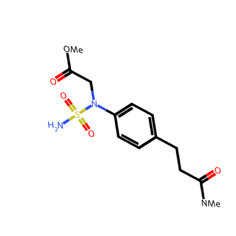 CNC(=O)CCc1ccc(N(CC(=O)OC)S(N)(=O)=O)cc1